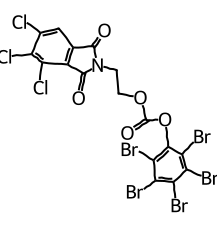 O=C(OCCN1C(=O)c2cc(Cl)c(Cl)c(Cl)c2C1=O)Oc1c(Br)c(Br)c(Br)c(Br)c1Br